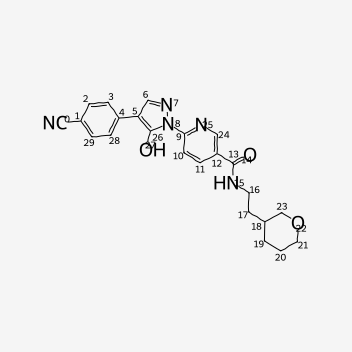 N#Cc1ccc(-c2cnn(-c3ccc(C(=O)NCCC4CCCOC4)cn3)c2O)cc1